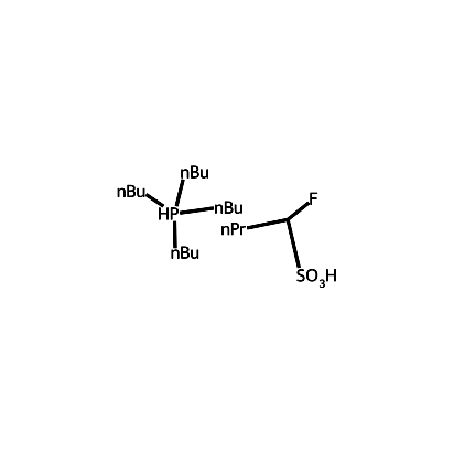 CCCC(F)S(=O)(=O)O.CCCC[PH](CCCC)(CCCC)CCCC